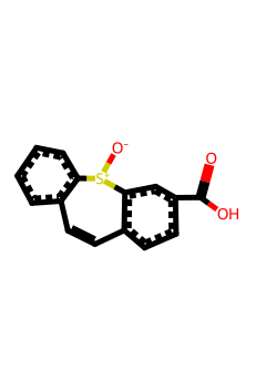 O=C(O)c1ccc2c(c1)[S+]([O-])c1ccccc1C=C2